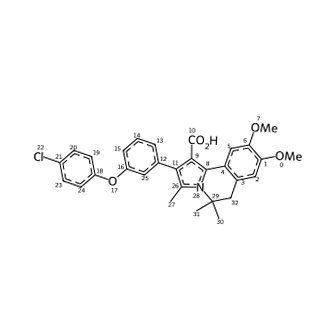 COc1cc2c(cc1OC)-c1c(C(=O)O)c(-c3cccc(Oc4ccc(Cl)cc4)c3)c(C)n1C(C)(C)C2